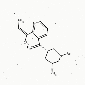 C=C(c1cccnc1/C(=C\C)C(F)(F)F)[C@H]1C[C@@H](C)CN(C(C)=O)C1